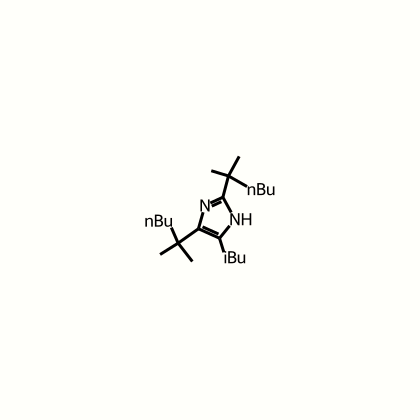 CCCCC(C)(C)c1nc(C(C)(C)CCCC)c(C(C)CC)[nH]1